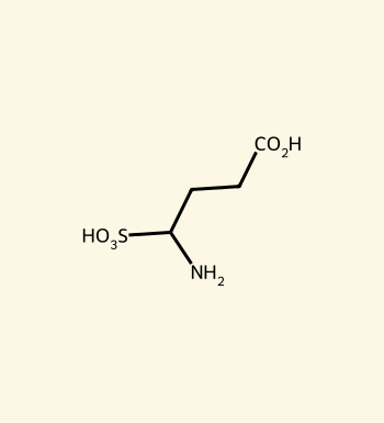 NC(CCC(=O)O)S(=O)(=O)O